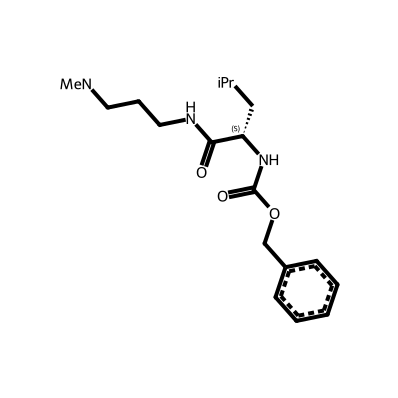 CNCCCNC(=O)[C@H](CC(C)C)NC(=O)OCc1ccccc1